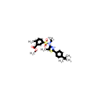 CCN(c1nc(-c2ccc(C(C)(C)C)cc2)sc1C)S(=O)(=O)c1ccc(C)c(C(=O)OC)c1